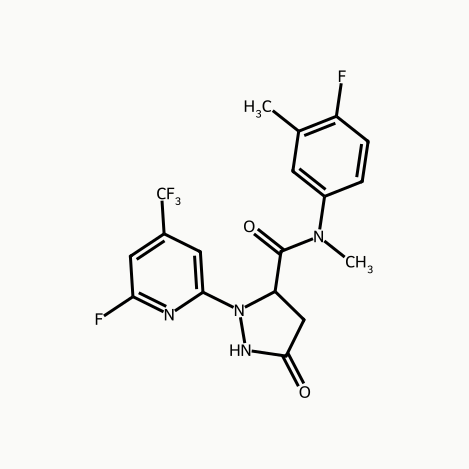 Cc1cc(N(C)C(=O)C2CC(=O)NN2c2cc(C(F)(F)F)cc(F)n2)ccc1F